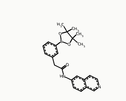 CC1(C)OB(c2cccc(CC(=O)Nc3ccc4cnccc4c3)c2)OC1(C)C